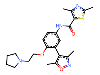 Cc1nc(C)c(C(=O)Nc2ccc(OCCN3CCCC3)c(-c3c(C)noc3C)c2)s1